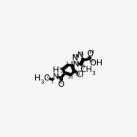 CCNC(=O)c1ccc(-n2nnc(C(=O)O)c2C)c(Cl)c1